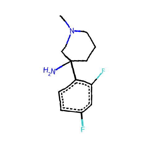 CN1CCCC(N)(c2ccc(F)cc2F)C1